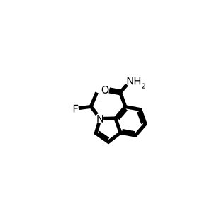 CC(F)n1ccc2cccc(C(N)=O)c21